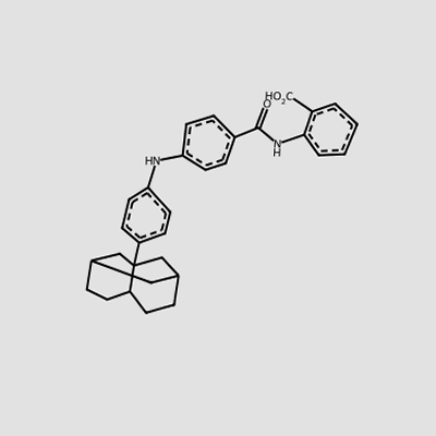 O=C(Nc1ccccc1C(=O)O)c1ccc(Nc2ccc(C34CC5CCC3CCC(C5)C4)cc2)cc1